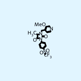 COc1cnccc1CN1C(=O)N(c2ccc(S(=O)(=O)C(F)(F)F)cc2)C(=O)C1C